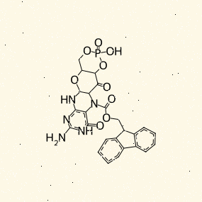 Nc1nc2c(c(=O)[nH]1)N(C(=O)OCC1c3ccccc3-c3ccccc31)C1C(=O)C3OP(=O)(O)OCC3OC1N2